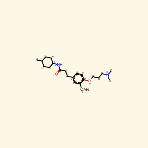 COc1cc(CCC(=O)NC2CCC(C)CC2)ccc1OCCCN(C)C